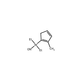 C[CH2][W]([CH2]C)([N]=O)[C]1=C(C)C=CC1